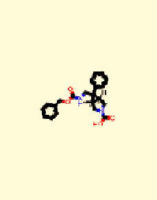 O=C(NCC1(c2ccccc2)[C@@H]2CN(C(=O)O)C[C@@H]21)OCc1ccccc1